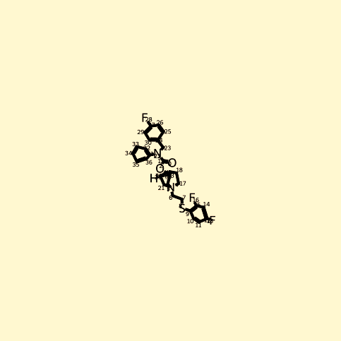 O=C(O[C@H]1C[N+]2(CCSc3ccc(F)cc3F)CCC1CC2)N(Cc1ccc(F)cc1)c1ccccc1